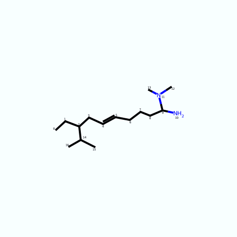 CCC(CC=CCCCC(N)N(C)C)C(C)C